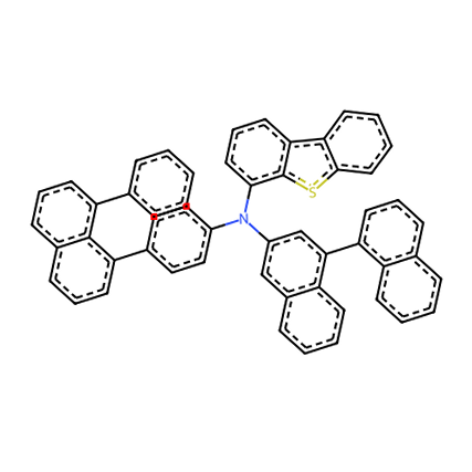 c1ccc(-c2cccc3cccc(-c4ccc(N(c5cc(-c6cccc7ccccc67)c6ccccc6c5)c5cccc6c5sc5ccccc56)cc4)c23)cc1